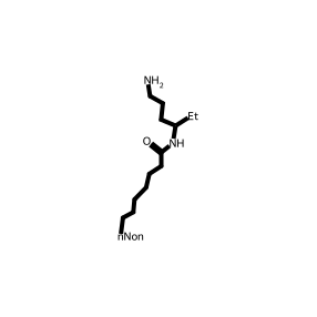 CCCCCCCCCCCCCCCC(=O)NC(CC)CCCN